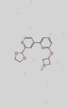 CN1CC(Oc2cccc(-c3ccnc(C4OCCO4)c3)n2)C1